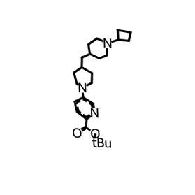 CC(C)(C)OC(=O)c1ccc(N2CCC(CC3CCN(C4CCC4)CC3)CC2)cn1